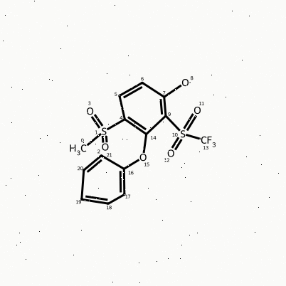 CS(=O)(=O)c1ccc([O])c(S(=O)(=O)C(F)(F)F)c1Oc1ccccc1